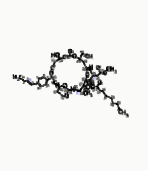 CC/C=C/c1ccc([C@@H]2C[C@@H]3CCO[C@H](/C=C/C(C)(C)[C@]4(O)O[C@@H](C/C(=C\C(=O)OC)[C@@H]4OC(=O)CCCCCCC)C[C@H](CO)OC(=O)C[C@H](O)CCO2)O3)cc1